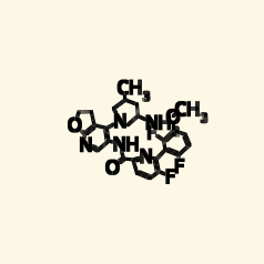 COc1ccc(F)c(-c2nc(C(=O)Nc3cnc4c(c3N3CC(C)CC(N)C3)CCO4)ccc2F)c1F